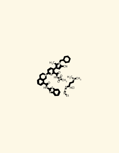 CCN=C=NCCCN(C)C.Cc1c(-c2ccc(N3CCc4cccc(C(=O)Nc5nc6ccccc6s5)c4C3)nc2C(=O)NS(C)(=O)=O)cc(C#N)n1CC1CCCCC1.Cl